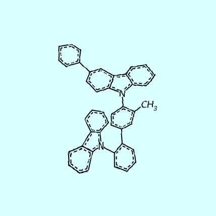 Cc1cc(-c2ccccc2-n2c3ccccc3c3ccccc32)ccc1-n1c2ccccc2c2cc(-c3ccccc3)ccc21